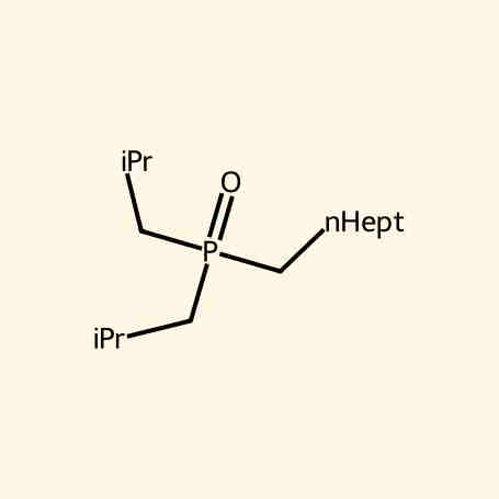 CCCCCCCCP(=O)(CC(C)C)CC(C)C